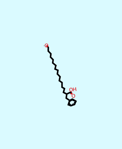 [O]CCCCCCCCCCCCCCCCC(Cc1ccccc1)C(=O)O